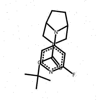 CC(C)(C)OC(=O)N1CC2CCC(C1)N2c1ccnc(F)c1